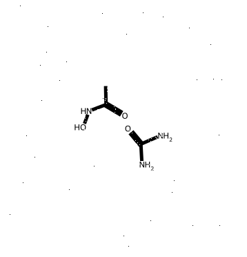 CC(=O)NO.NC(N)=O